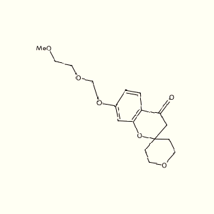 COCCOCOc1ccc2c(c1)OC1(CCOCC1)CC2=O